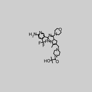 CC1=C(CN2CCN(C(=O)C(C)(C)O)CC2)CC2C(N3CCOCC3)=NC(c3cnc(N)cc3C(F)(F)F)=NN12